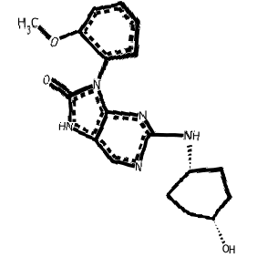 COc1ccccc1-n1c(=O)[nH]c2cnc(N[C@H]3CC[C@@H](O)CC3)nc21